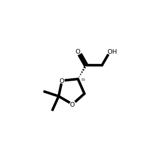 CC1(C)OC[C@@H](C(=O)CO)O1